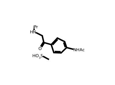 CC(=O)Nc1ccc(C(=O)CNC(C)C)cc1.CS(=O)(=O)O